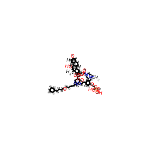 C[C@]12C=CC(=O)C=C1CC[C@@H]1[C@@H]2[C@@H](O)C[C@@]2(C)[C@H]1C[C@H]1O[C@@H](C3CCCCC3)O[C@]12C(=O)COC(=O)N1CC[N+](C)(Cc2cc(C(O)CNCCCCCCOCCCCc3ccccc3)ccc2OCOP(=O)(O)O)CC1